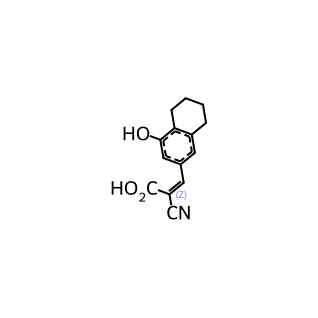 N#C/C(=C/c1cc(O)c2c(c1)CCCC2)C(=O)O